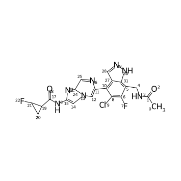 CC(=O)NCc1c(F)c(Cl)c(-c2cn3cc(NC(=O)C4CC4F)nc3cn2)c2cn[nH]c12